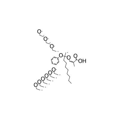 [CH2]C(CCCCCCCC)(OC=C(C)C(=O)O)Oc1ccccc1.[CH2]C[O].[CH2]C[O].[CH2]C[O].[CH2]C[O].[CH2]C[O].[CH2]C[O].[CH2]C[O].[CH2]C[O].[CH2]C[O]